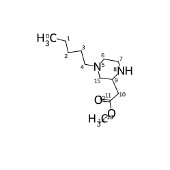 CCCCCN1CCNC(CC(=O)OC)C1